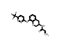 C=CC(=O)NC1COc2c(cccc2Oc2ccc(C(F)(F)F)nn2)C1